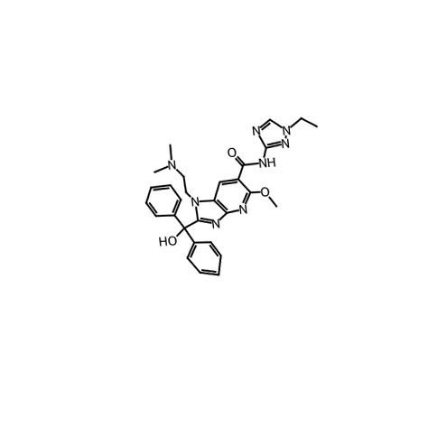 CCn1cnc(NC(=O)c2cc3c(nc2OC)nc(C(O)(c2ccccc2)c2ccccc2)n3CCN(C)C)n1